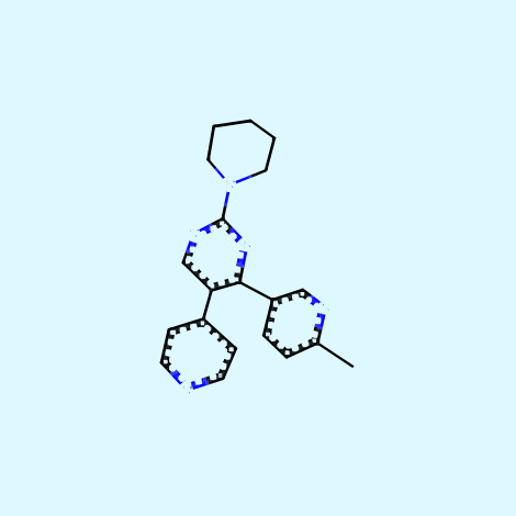 Cc1ccc(-c2nc(N3CCCCC3)ncc2-c2ccncc2)cn1